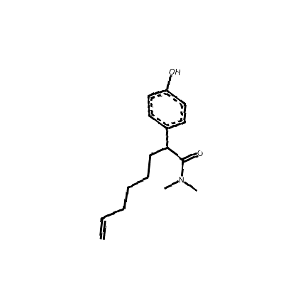 C=CCCCCC(C(=O)N(C)C)c1ccc(O)cc1